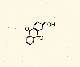 O=C1C2=C(C=CC(=CO)[CH]2)C(=O)c2ccccc21